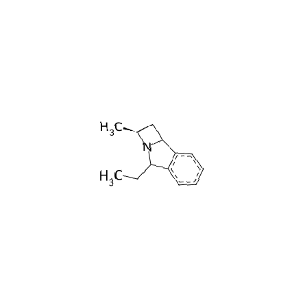 CCC1c2ccccc2C2C[C@H](C)N12